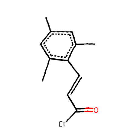 CCC(=O)C=Cc1c(C)cc(C)cc1C